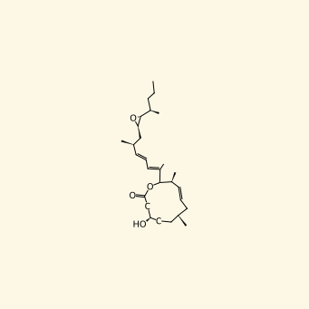 CCC[C@@H](C)[C@H]1O[C@@H]1C[C@H](C)/C=C/C=C(\C)C1OC(=O)C[C@H](O)CC[C@H](C)C/C=C/[C@@H]1C